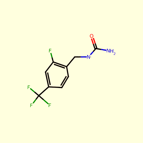 NC(=O)[N]Cc1ccc(C(F)(F)F)cc1F